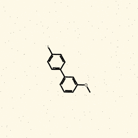 COc1cccc(-c2c[c]c(I)cc2)c1